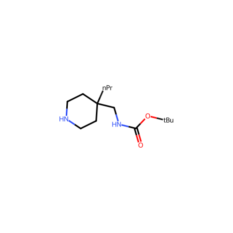 CCCC1(CNC(=O)OC(C)(C)C)CCNCC1